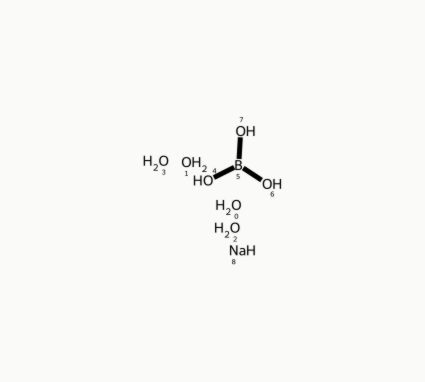 O.O.O.O.OB(O)O.[NaH]